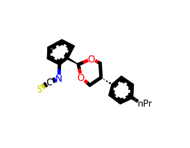 CCCc1ccc([C@H]2CO[C@H](c3ccccc3N=C=S)OC2)cc1